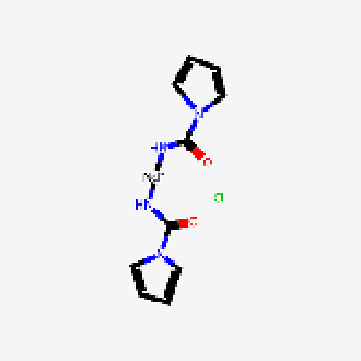 O=C([NH][Nd+][NH]C(=O)n1cccc1)n1cccc1.[Cl-]